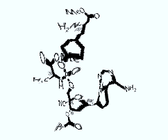 COC(=O)[C@H](C)NP(=O)(OC[C@@]1(C#N)O[C@@H](c2ccc3c(N)ncnn23)C[C@@H]1OC(=O)C(C)C)Oc1ccc(C[C@H](N)C(=O)OC)cc1